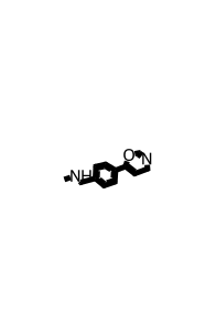 CNCc1ccc(C2=CCN=CO2)cc1